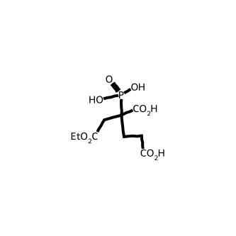 CCOC(=O)CC(CCC(=O)O)(C(=O)O)P(=O)(O)O